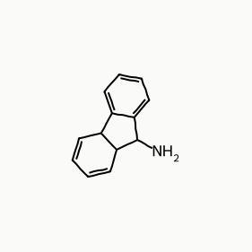 NC1c2ccccc2C2C=CC=CC12